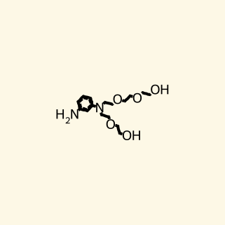 Nc1cccc(N(CCOCCO)CCOCCOCCO)c1